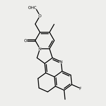 Cc1cc2n(c(=O)c1COC=O)Cc1c-2nc2cc(F)c(C)c3c2c1CCC3